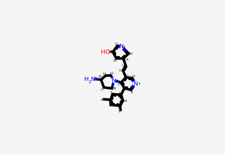 Cc1cc(C)cc(-c2cncc(C=Cc3cncc(O)c3)c2N2CCC(N)CC2)c1